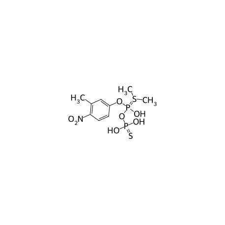 Cc1cc(OP(O)(OP(O)(O)=S)=S(C)C)ccc1[N+](=O)[O-]